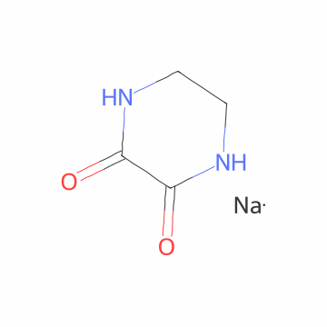 O=C1NCCNC1=O.[Na]